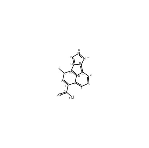 CC1C=C(C(=O)Cl)c2cccc3c2=C1C1=CN=NC=31